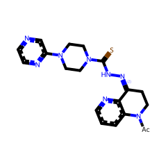 CC(=O)N1CC/C(=N/NC(=S)N2CCN(c3cnccn3)CC2)c2ncccc21